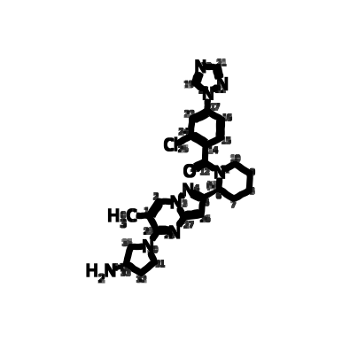 Cc1cn2nc([C@@H]3CCCCN3C(=O)c3ccc(-n4cncn4)cc3Cl)cc2nc1N1CC[C@H](N)C1